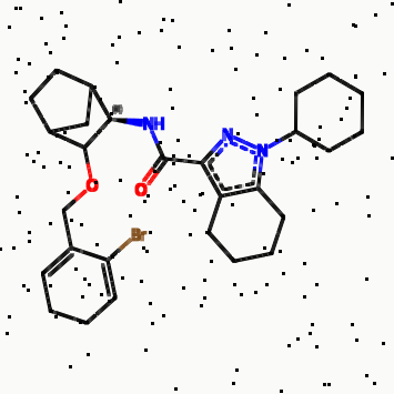 O=C(N[C@@H]1C2CCC(C2)C1OCC1=CCCC=C1Br)c1nn(C2CCCCC2)c2c1CCCC2